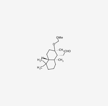 COCO[C@]1(C)CC[C@H]2C(C)(C)CCC[C@]2(C)[C@H]1CC=O